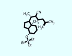 C=C(C)CCC(C#N)[C@@H](C)C1CCC2[C@@H](O[Si](CC)(CC)CC)CCC[C@]12C